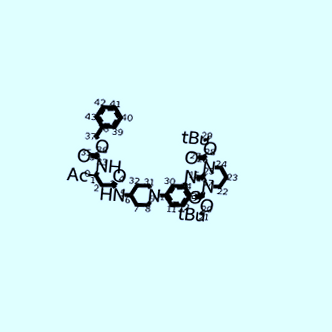 CC(=O)[C@H](CC(=O)NC1CCN(c2cccc(N=C3N(C(=O)OC(C)(C)C)CCCN3C(=O)OC(C)(C)C)c2)CC1)NC(=O)OCc1ccccc1